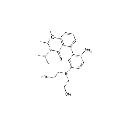 COc1cccc(-c2cc(N(CCO)CCO)ccc2N)c1C(=O)N(C(C)C)C(C)C